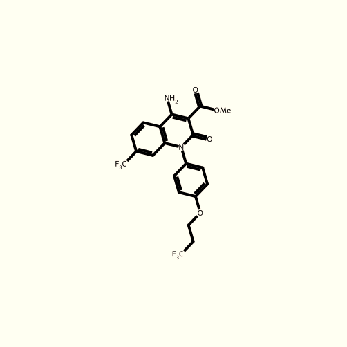 COC(=O)c1c(N)c2ccc(C(F)(F)F)cc2n(-c2ccc(OCCC(F)(F)F)cc2)c1=O